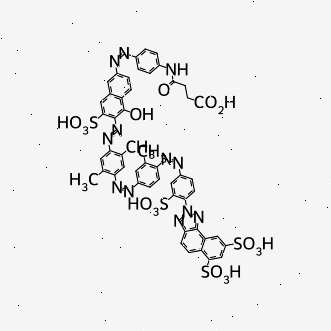 Cc1cc(/N=N\c2cc(C)c(/N=N/c3c(S(=O)(=O)O)cc4cc(/N=N\c5ccc(NC(=O)CCC(=O)O)cc5)ccc4c3O)cc2C)ccc1/N=N\c1ccc(-n2nc3ccc4c(S(=O)(=O)O)cc(S(=O)(=O)O)cc4c3n2)c(S(=O)(=O)O)c1